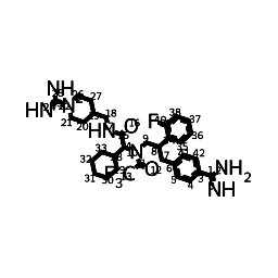 N=C(N)c1ccc(CC(CN(C(=O)C(F)(F)F)C(C(=O)NCC2CCN(C(=N)N)CC2)C2CCCCC2)c2ccccc2F)cc1